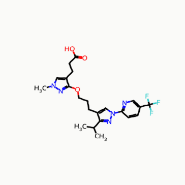 CC(C)c1nn(-c2ccc(C(F)(F)F)cn2)cc1CCCOc1nn(C)cc1CCC(=O)O